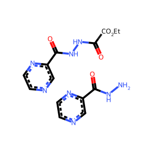 CCOC(=O)C(=O)NNC(=O)c1cnccn1.NNC(=O)c1cnccn1